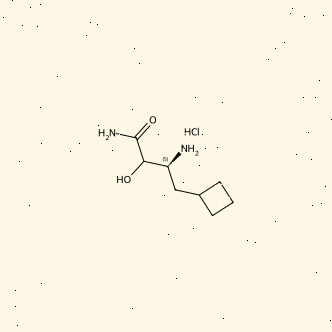 Cl.NC(=O)C(O)[C@@H](N)CC1CCC1